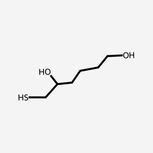 OCCCCC(O)CS